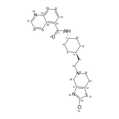 O=C(N[C@H]1CC[C@H](CCN2CCc3sc(Cl)nc3C2)CC1)c1cccc2ncccc12